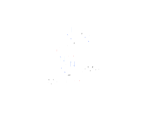 COc1nc(NS(=O)(=O)c2c[nH]c(-c3cscn3)c2)nc(OC)c1OCC(F)F